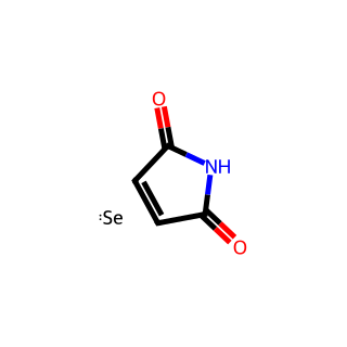 O=C1C=CC(=O)N1.[Se]